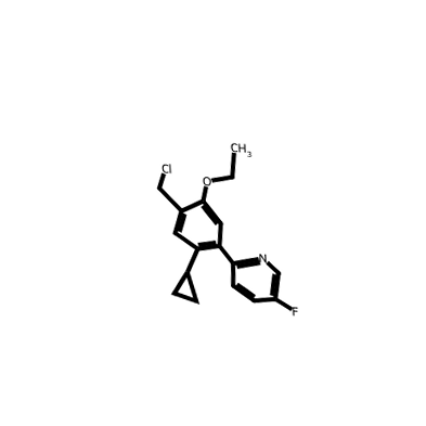 CCOc1cc(-c2ccc(F)cn2)c(C2CC2)cc1CCl